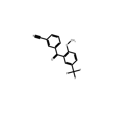 COc1ccc(C(F)(F)F)cc1C(=O)c1cccc(C#N)c1